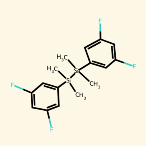 C[Si](C)(c1cc(F)cc(F)c1)[Si](C)(C)c1cc(F)cc(F)c1